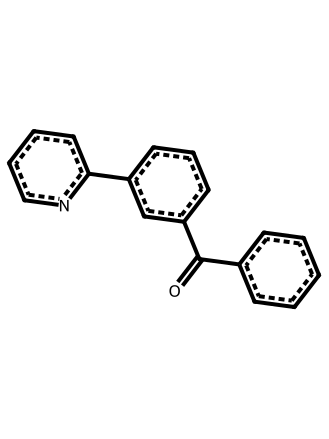 O=C(c1ccccc1)c1cccc(-c2ccccn2)c1